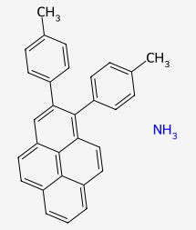 Cc1ccc(-c2cc3ccc4cccc5ccc(c2-c2ccc(C)cc2)c3c45)cc1.N